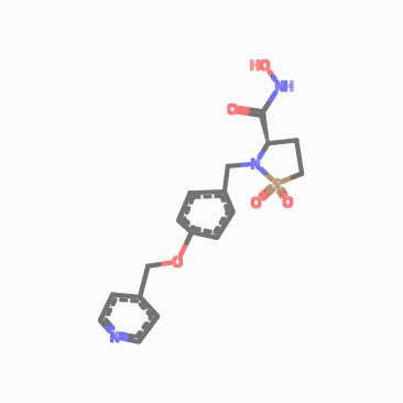 O=C(NO)[C@H]1CCS(=O)(=O)N1Cc1ccc(OCc2ccncc2)cc1